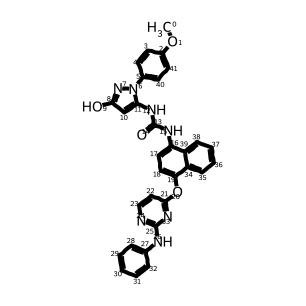 COc1ccc(-n2nc(O)cc2NC(=O)Nc2ccc(Oc3ccnc(Nc4ccccc4)n3)c3ccccc23)cc1